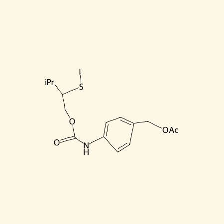 CC(=O)OCc1ccc(NC(=O)OCC(SI)C(C)C)cc1